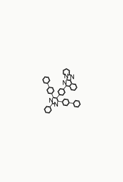 c1ccc(-c2ccc(-c3nc(-c4ccccc4)nc(-c4ccc(-c5ccccc5)cc4)c3-c3ccc(-c4nc5c(nc6ccccn65)c5ccccc45)cc3)cc2)cc1